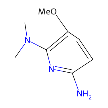 COc1ccc(N)nc1N(C)C